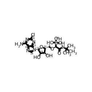 CC(C)(C)NC(=O)[C@@H](OC[C@H]1O[C@@H](n2cnc3c(N)nc(Cl)nc32)[C@H](O)[C@@H]1O)P(=O)(O)O